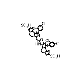 O=C(Nc1nn(-c2ccc(Cl)cc2Cl)c2c1CCc1cc(S(=O)(=O)O)sc1-2)Nc1nn(-c2ccc(Cl)cc2Cl)c2c1CCc1cc(S(=O)(=O)O)sc1-2